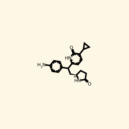 Nc1ccc(C(C[C@H]2CCC(=O)N2)c2ccc(C3CC3)c(=O)[nH]2)cc1